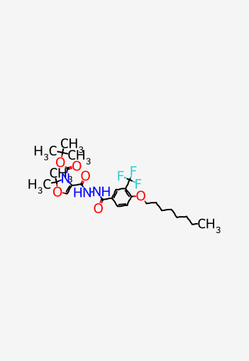 CCCCCCCCOc1ccc(C(=O)NNC(=O)C2=COC(C)(C)N2C(=O)OC(C)(C)C)cc1C(F)(F)F